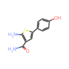 NC(=O)c1cc(-c2ccc(O)cc2)sc1N